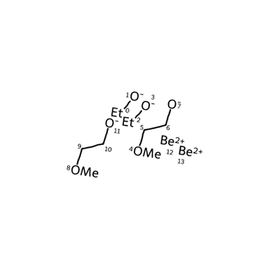 CC[O-].CC[O-].COCC[O-].COCC[O-].[Be+2].[Be+2]